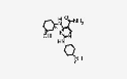 CN[C@H]1CC[C@H](Nc2ncc(C(N)=O)c(N[C@@H]3CCC[C@H](O)C3)n2)CC1